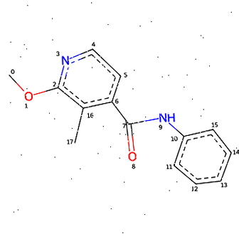 COc1nccc(C(=O)Nc2ccccc2)c1C